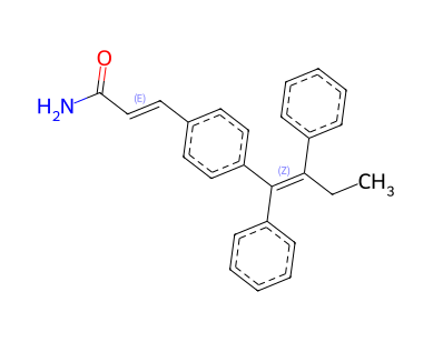 CC/C(=C(\c1ccccc1)c1ccc(/C=C/C(N)=O)cc1)c1ccccc1